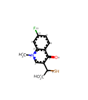 Cn1cc(C(S)C(=O)O)c(=O)c2ccc(F)cc21